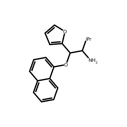 CC(C)C(N)C(Oc1cccc2ccccc12)c1ccco1